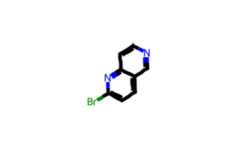 Brc1ccc2cn[c]cc2n1